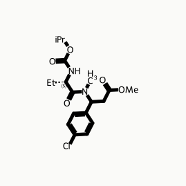 CC[C@H](NC(=O)OC(C)C)C(=O)N(C)C(CC(=O)OC)c1ccc(Cl)cc1